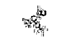 CC(C)CN(C[C@@]1(c2ncc(C(O)(C(F)(F)F)C(F)(F)F)cn2)CN(S(=O)(=O)c2cccnc2N)CCN1)S(C)(=O)=O